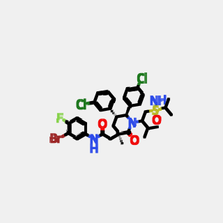 CC(C)C(CS(=N)(=O)C(C)C)N1C(=O)[C@@](C)(CC(=O)Nc2ccc(F)c(Br)c2)C[C@H](c2cccc(Cl)c2)[C@H]1c1ccc(Cl)cc1